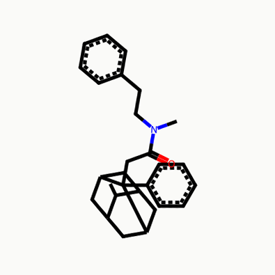 CC1C2CC3CC1CC(C2)C3(CC(=O)N(C)CCc1ccccc1)c1ccccc1